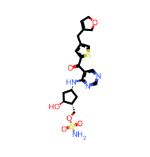 NS(=O)(=O)OC[C@H]1C[C@@H](Nc2ncncc2C(=O)c2cc(CC3=CCOC3)cs2)C[C@@H]1O